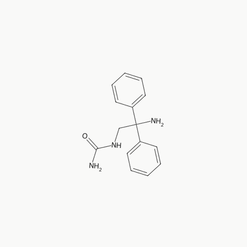 NC(=O)NCC(N)(c1ccccc1)c1ccccc1